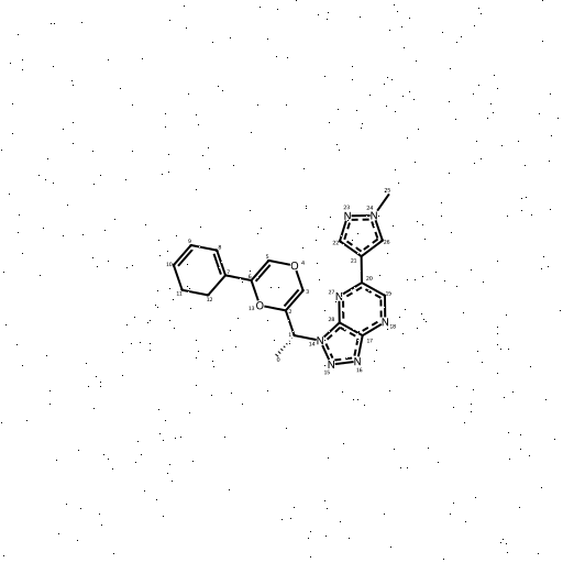 C[C@H](C1=COC=C(C2=CC=CCC2)O1)n1nnc2ncc(-c3cnn(C)c3)nc21